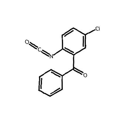 O=C=Nc1ccc(Cl)cc1C(=O)c1ccccc1